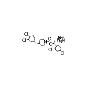 O=C(OC(Cn1ncnn1)c1ccc(Cl)cc1Cl)N1CCC(Cc2ccc(Cl)c(Cl)c2)CC1